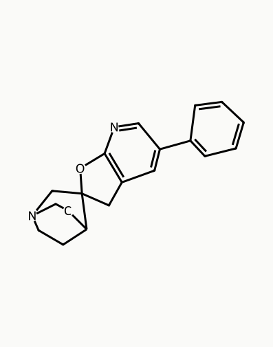 c1ccc(-c2cnc3c(c2)CC2(CN4CCC2CC4)O3)cc1